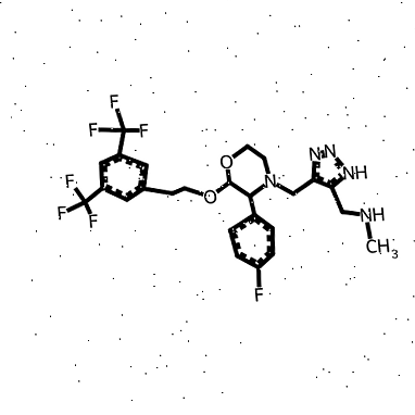 CNCc1[nH]nnc1CN1CCOC(OCCc2cc(C(F)(F)F)cc(C(F)(F)F)c2)C1c1ccc(F)cc1